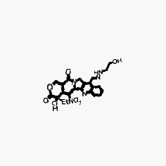 CC[C@@]1(O)C(=O)OCC2C(=O)N3Cc4c(nc5ccccc5c4/C=N/NCCO)C3=C([N+](=O)[O-])C21